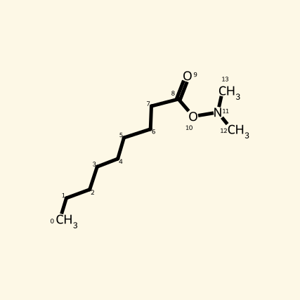 CCCCCCCCC(=O)ON(C)C